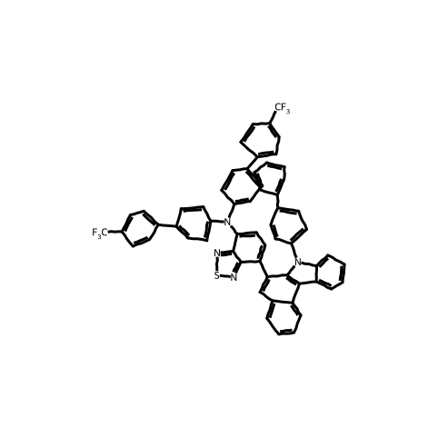 FC(F)(F)c1ccc(-c2ccc(N(c3ccc(-c4ccc(C(F)(F)F)cc4)cc3)c3ccc(-c4cc5ccccc5c5c6ccccc6n(-c6ccc(-c7ccccc7)cc6)c45)c4nsnc34)cc2)cc1